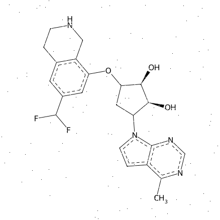 Cc1ncnc2c1ccn2C1CC(Oc2cc(C(F)F)cc3c2CNCC3)[C@@H](O)[C@H]1O